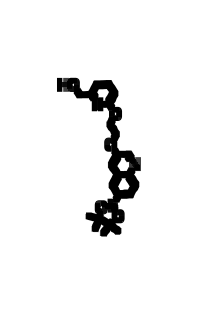 CC1(C)OB(c2ccc3ncc(OCCOc4cccc(CO)n4)cc3c2)OC1(C)C